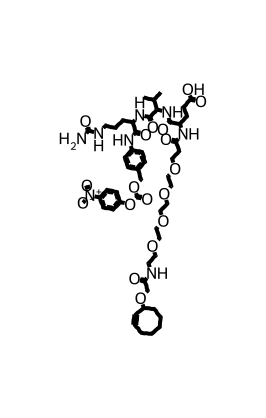 CC(C)C(NC(=O)C(CCC(=O)O)NC(=O)CCOCCOCCOCCOCCNC(=O)COC1C#CCCCCC1)C(=O)NC(CCCNC(N)=O)C(=O)Nc1ccc(COC(=O)Oc2ccc([N+](=O)[O-])cc2)cc1